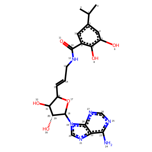 CC(C)c1cc(O)c(O)c(C(=O)NCC=CC2OC(n3cnc4c(N)ncnc43)[C@H](O)C2O)c1